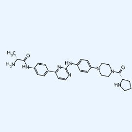 C[C@@H](N)C(=O)Nc1ccc(-c2ccnc(Nc3ccc(N4CCN(C(=O)[C@@H]5CCCN5)CC4)cc3)n2)cc1